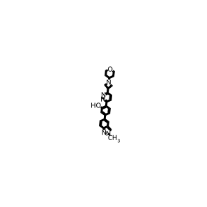 Cn1cc2cc(-c3ccc(-c4ccc(C5CN(C6CCOCC6)C5)nn4)c(O)c3)ccc2n1